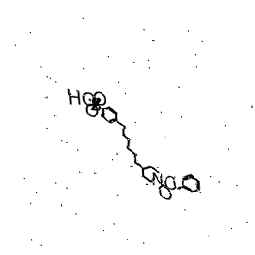 O=C(OCc1ccccc1)N1CCC(CCCCCCc2ccc(S(=O)(=O)O)cc2)CC1